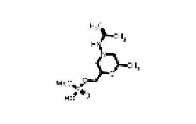 C=C(C)NN1CC(C)OC(COP(=O)(O)OC)C1